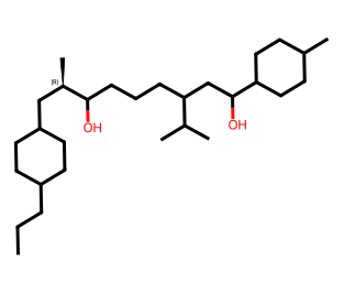 CCCC1CCC(C[C@@H](C)C(O)CCCC(CC(O)C2CCC(C)CC2)C(C)C)CC1